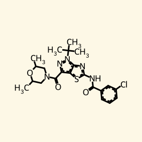 CC1CN(C(=O)c2nn(C(C)(C)C)c3nc(NC(=O)c4cccc(Cl)c4)sc23)CC(C)O1